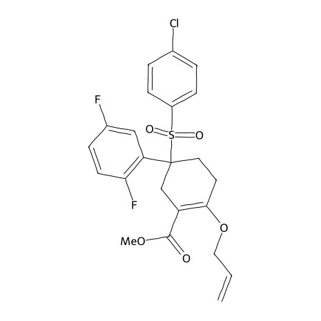 C=CCOC1=C(C(=O)OC)CC(c2cc(F)ccc2F)(S(=O)(=O)c2ccc(Cl)cc2)CC1